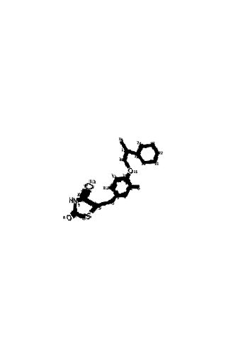 Cc1cc(CC2SC(=O)NC2=O)ccc1OCC(C)C1CCCCC1